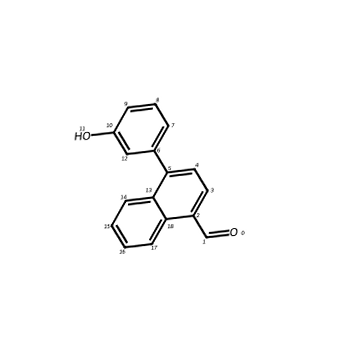 O=Cc1ccc(-c2cccc(O)c2)c2ccccc12